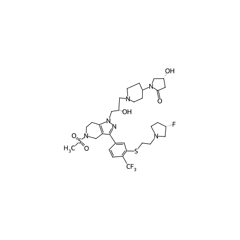 CS(=O)(=O)N1CCc2c(c(-c3ccc(C(F)(F)F)c(SCCN4CC[C@H](F)C4)c3)nn2C[C@@H](O)CN2CCC(N3C[C@H](O)CC3=O)CC2)C1